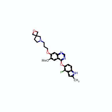 COc1cc2c(Oc3ccc4[nH]c(C)cc4c3F)ncnc2cc1OCCCN1CCC2(COC2)C1